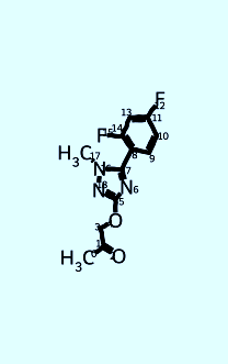 CC(=O)COc1nc(-c2ccc(F)cc2F)n(C)n1